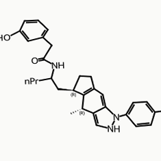 CCCC(C[C@H]1CCC2=C1[C@@H](C)C1=CNN(c3ccc(F)cc3)C1=C2)NC(=O)Cc1cccc(O)c1